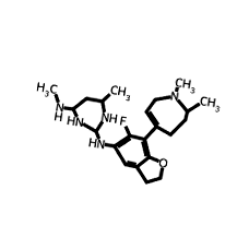 CNC1CC(C)NC(Nc2cc3c(c(C4=CCN(C)C(C)CC4)c2F)OCC3)N1